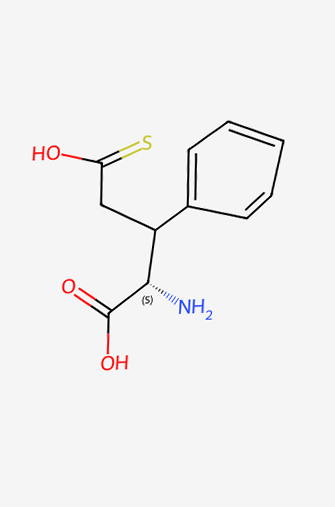 N[C@H](C(=O)O)C(CC(O)=S)c1ccccc1